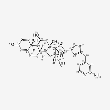 C[C@]12C=CC(=O)C=C1CC[C@H]1[C@@H]3C[C@H]4O[C@@H](c5csc(Cc6cccc(N)c6)c5)O[C@@]4(C(=O)CO)[C@@]3(C)C[C@H](O)[C@@]12F